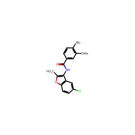 COc1cc(C(=O)Nc2c(C(=O)O)oc3ccc(Cl)cc23)ccc1C(C)(C)C